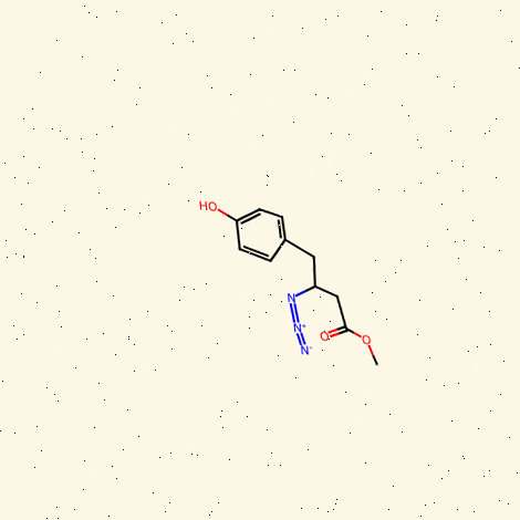 COC(=O)CC(Cc1ccc(O)cc1)N=[N+]=[N-]